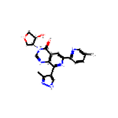 Cc1n[nH]cc1-c1nc(-c2ccc(C(F)(F)F)cn2)cc2c(=O)n([C@@H]3COC[C@H]3O)cnc12